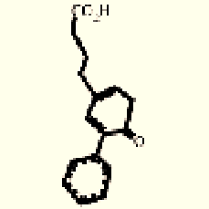 O=C(O)CCCC1=CCC(=O)C(c2ccccc2)=C1